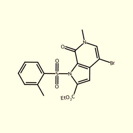 CCOC(=O)c1cc2c(Br)cn(C)c(=O)c2n1S(=O)(=O)c1ccccc1C